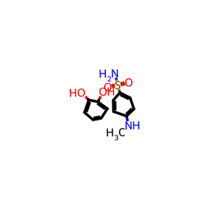 CNc1ccc(S(N)(=O)=O)cc1.Oc1ccccc1O